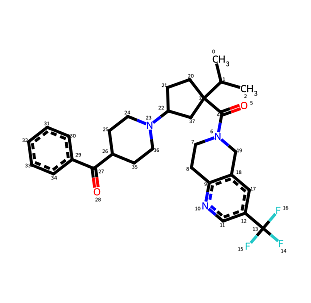 CC(C)C1(C(=O)N2CCc3ncc(C(F)(F)F)cc3C2)CCC(N2CCC(C(=O)c3ccccc3)CC2)C1